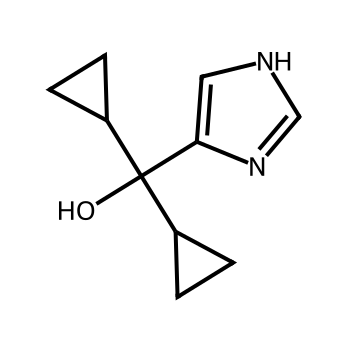 OC(c1c[nH]cn1)(C1CC1)C1CC1